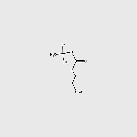 CCC(C)(C)OC(=O)OCCOC